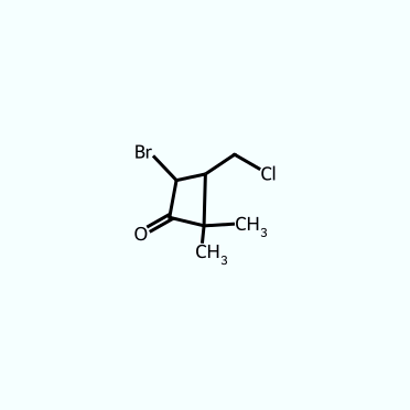 CC1(C)C(=O)C(Br)C1CCl